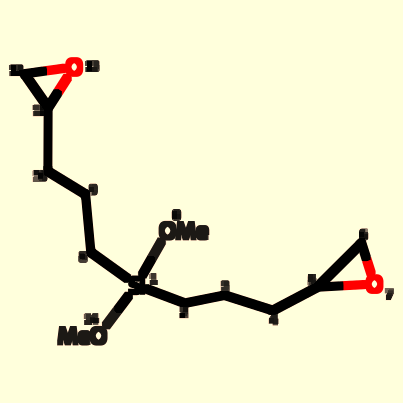 CO[Si](CCCC1CO1)(CCCC1CO1)OC